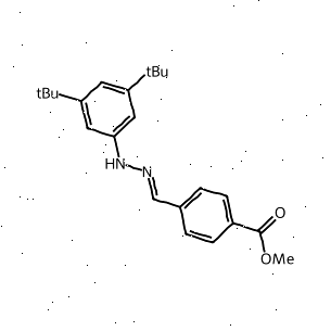 COC(=O)c1ccc(C=NNc2cc(C(C)(C)C)cc(C(C)(C)C)c2)cc1